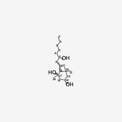 CCCCCC(O)C=C=C1C(C)(C)CC(O)CC1(C)O